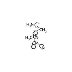 C=C(c1ccn2c(C)c(-c3cc4ccccc4n3Cc3ccncc3)nc2c1)N1CCCC(N)C1